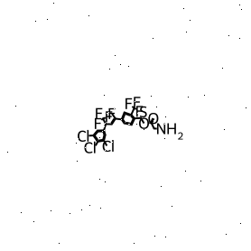 NCC(=O)OC(=S)c1ccc(/C(F)=C/C(c2cc(Cl)c(Cl)c(Cl)c2)C(F)(F)F)cc1C(F)(F)F